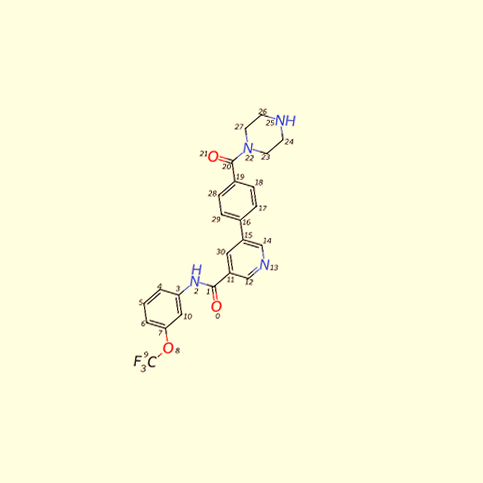 O=C(Nc1cccc(OC(F)(F)F)c1)c1cncc(-c2ccc(C(=O)N3CCNCC3)cc2)c1